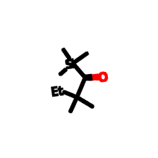 CCC(C)(C)C(=O)[Si](C)(C)C